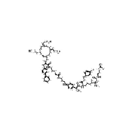 CCC(=O)NCCNC(=O)/N=C(/N)NCCC[C@@H](NC(=O)C(C)c1ccc(NCCCNC(=O)CCCCNC(=O)[C@@H](Cc2ccc(-c3ccccc3)cc2)NCN2CCN(CC(=O)O)CCN(CC(=O)O)CCN(CC(=O)O)CC2)cc1)C(=O)NCc1ccc(O)cc1